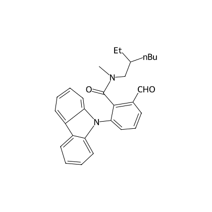 CCCCC(CC)CN(C)C(=O)c1c(C=O)cccc1-n1c2ccccc2c2ccccc21